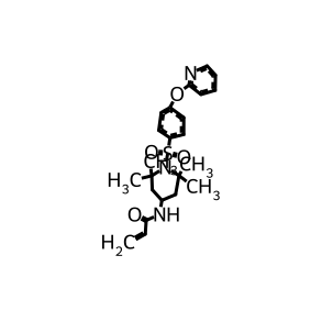 C=CC(=O)NC1CC(C)(C)N(S(=O)(=O)c2ccc(Oc3ccccn3)cc2)C(C)(C)C1